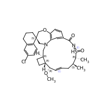 CO[C@H]1/C=C/C[C@H](C)[C@@H](C)/[SH](=O)=N\C(=O)c2ccc3c(c2)N(C[C@@H]2CC[C@H]21)C[C@@]1(CCCc2cc(Cl)ccc21)CO3